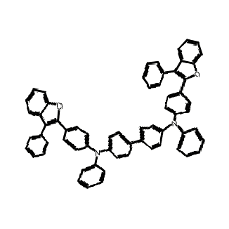 c1ccc(-c2c(-c3ccc(N(c4ccccc4)c4ccc(-c5ccc(N(c6ccccc6)c6ccc(-c7oc8ccccc8c7-c7ccccc7)cc6)cc5)cc4)cc3)oc3ccccc23)cc1